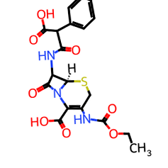 CCOC(=O)NC1=C(C(=O)O)N2C(=O)C(NC(=O)C(C(=O)O)c3ccccc3)[C@H]2SC1